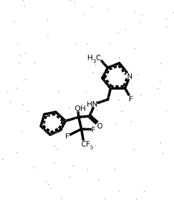 Cc1cnc(F)c(CNC(=O)C(O)(c2ccccc2)C(F)(F)C(F)(F)F)c1